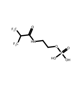 O=C(NCCOP(=O)(O)O)C(C(F)(F)F)C(F)(F)F